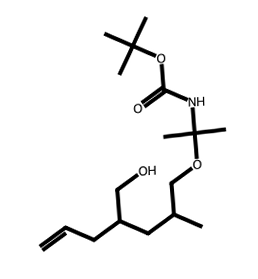 C=CCC(CO)CC(C)COC(C)(C)NC(=O)OC(C)(C)C